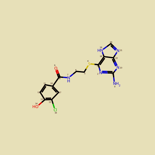 Nc1nc(SCCNC(=O)c2ccc(O)c(Cl)c2)c2[nH]cnc2n1